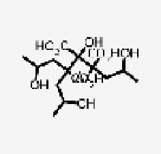 CC(=O)C(CC(C)O)(C(=O)O)C(O)(C(=O)O)C(CC(C)O)(CC(C)O)C(=O)O